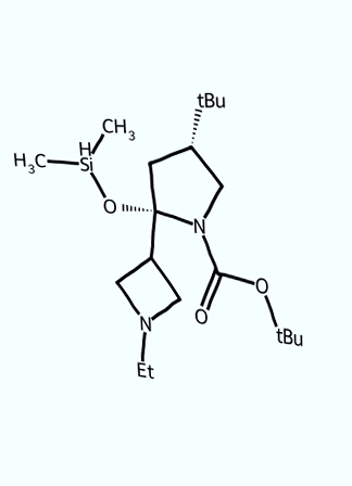 CCN1CC([C@@]2(O[SiH](C)C)C[C@H](C(C)(C)C)CN2C(=O)OC(C)(C)C)C1